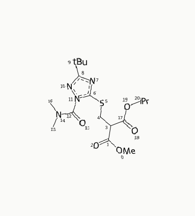 COC(=O)C(CSc1nc(C(C)(C)C)nn1C(=O)N(C)C)C(=O)OC(C)C